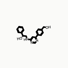 OCc1ccc(-c2cc(NC[C@H](O)c3ccccc3)ncn2)cc1